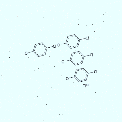 [O-]c1ccc(Cl)cc1.[O-]c1ccc(Cl)cc1.[O-]c1ccc(Cl)cc1.[O-]c1ccc(Cl)cc1.[Ti+4]